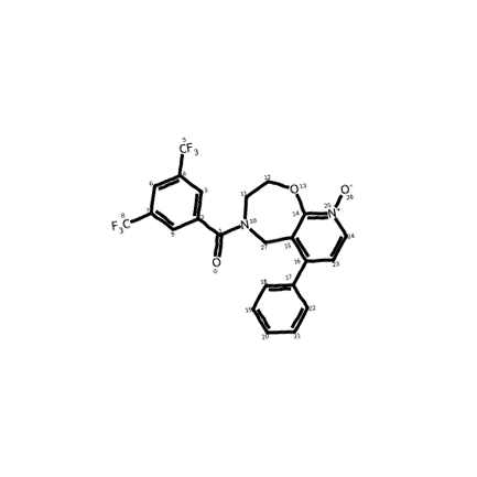 O=C(c1cc(C(F)(F)F)cc(C(F)(F)F)c1)N1CCOc2c(c(-c3ccccc3)cc[n+]2[O-])C1